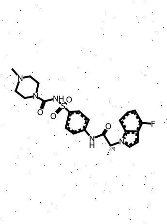 C[C@H](C(=O)Nc1ccc(S(=O)(=O)NC(=O)N2CCN(C)CC2)cc1)n1ccc2c(F)cccc21